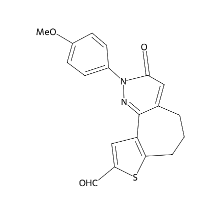 COc1ccc(-n2nc3c(cc2=O)CCCc2sc(C=O)cc2-3)cc1